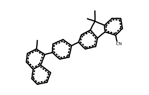 Cc1ccc2ccccc2c1-c1ccc(-c2ccc3c(c2)C(C)(C)c2cccc(C#N)c2-3)cc1